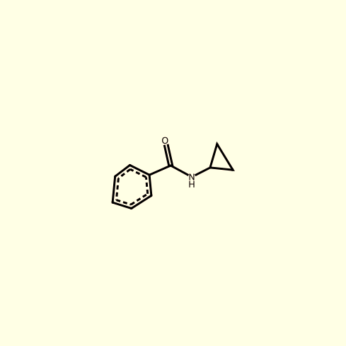 O=C(NC1CC1)c1ccccc1